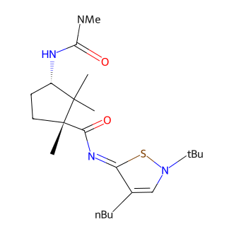 CCCCc1cn(C(C)(C)C)s/c1=N\C(=O)[C@]1(C)CC[C@H](NC(=O)NC)C1(C)C